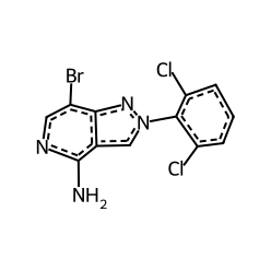 Nc1ncc(Br)c2nn(-c3c(Cl)cccc3Cl)cc12